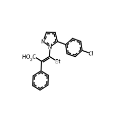 CC/C(=C(/C(=O)O)c1ccccc1)n1nccc1-c1ccc(Cl)cc1